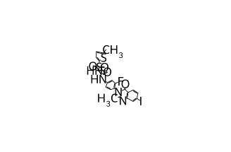 Cc1ccc(S(=O)(=O)NC(=O)Nc2ccc(-n3c(C)nc4cc(I)ccc4c3=O)c(F)c2)s1